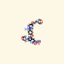 CS(=O)(=O)Nc1cnc2cc(N3CCOCC3)nc(O[C@H]3CC[C@@H](Nc4ncc(OCCN5CCOCC5)cn4)CC3)c2c1